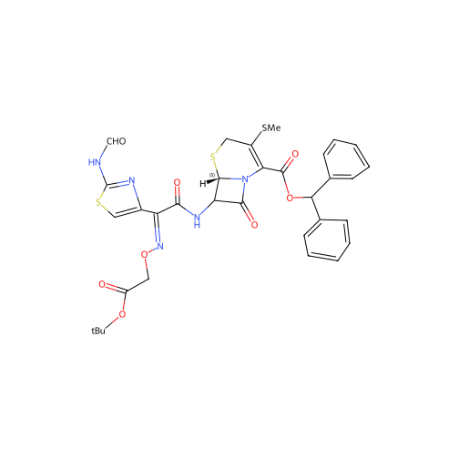 CSC1=C(C(=O)OC(c2ccccc2)c2ccccc2)N2C(=O)C(NC(=O)C(=NOCC(=O)OC(C)(C)C)c3csc(NC=O)n3)[C@@H]2SC1